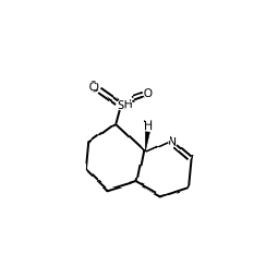 O=[SH](=O)C1CCCC2CCC=N[C@H]21